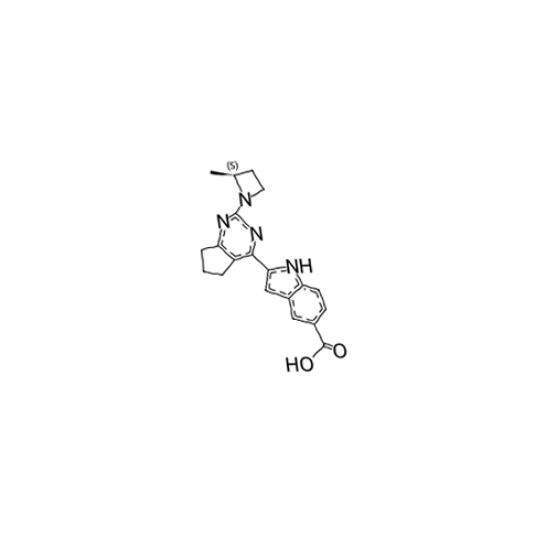 C[C@H]1CCN1c1nc2c(c(-c3cc4cc(C(=O)O)ccc4[nH]3)n1)CCC2